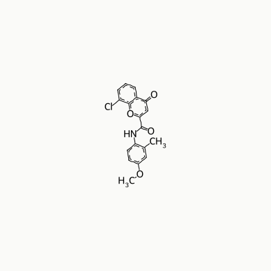 COc1ccc(NC(=O)c2cc(=O)c3cccc(Cl)c3o2)c(C)c1